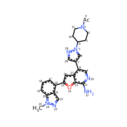 CC(=O)N1CCC(n2cc(-c3cnc(N)c4oc(-c5cccc6c5cnn6C)cc34)cn2)CC1